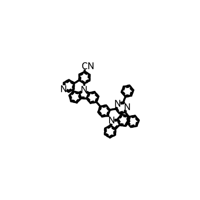 N#Cc1ccc(-n2c3ccccc3c3cc(-c4ccc(-n5c6ccccc6c6ccccc65)c(-c5cc(-c6ccccc6)nc(-c6ccccc6)n5)c4)ccc32)c(-c2ccncc2)c1